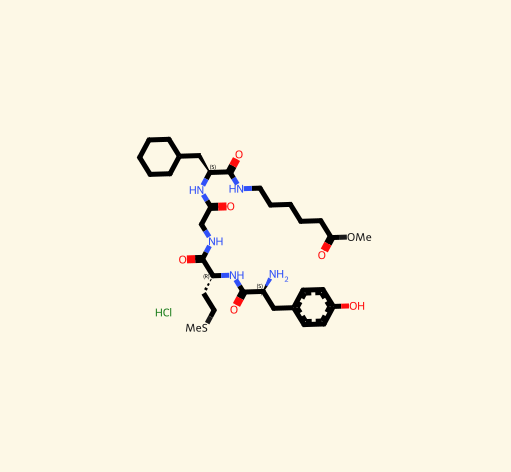 COC(=O)CCCCCNC(=O)[C@H](CC1CCCCC1)NC(=O)CNC(=O)[C@@H](CCSC)NC(=O)[C@@H](N)Cc1ccc(O)cc1.Cl